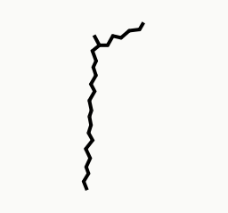 CCCCCCCCCCCCCCCCCCC(C)CCCCCC